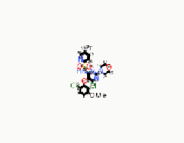 COc1ccc(Cl)c(Oc2c(Cl)nc(N3CCOCC3)nc2NS(=O)(=O)c2ccc(C(C)C)cn2)c1